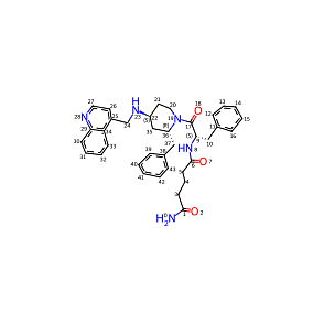 NC(=O)CCCC(=O)N[C@@H](Cc1ccccc1)C(=O)N1CC[C@H](NCc2ccnc3ccccc23)C[C@H]1Cc1ccccc1